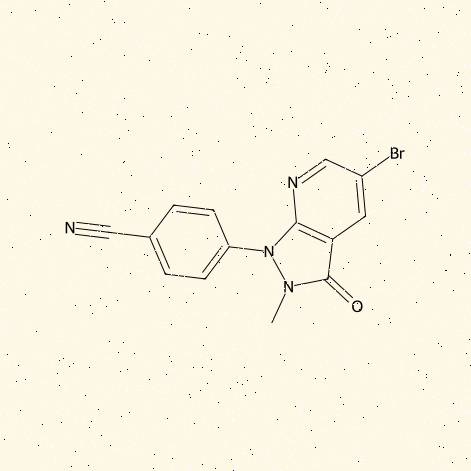 Cn1c(=O)c2cc(Br)cnc2n1-c1ccc(C#N)cc1